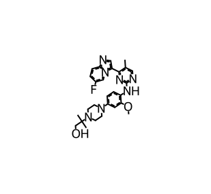 COc1cc(N2CCN(C(C)(C)CO)CC2)ccc1Nc1ncc(C)c(-c2cnc3ccc(F)cn23)n1